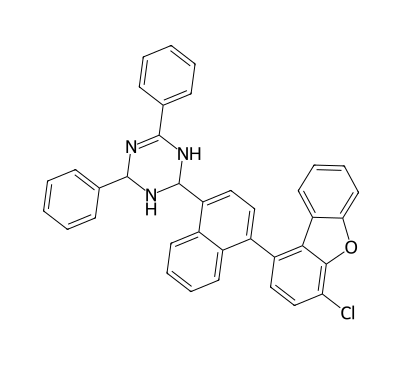 Clc1ccc(-c2ccc(C3NC(c4ccccc4)=NC(c4ccccc4)N3)c3ccccc23)c2c1oc1ccccc12